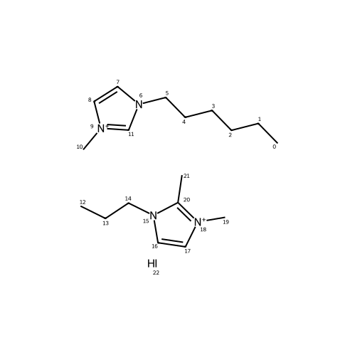 CCCCCCn1cc[n+](C)c1.CCCn1cc[n+](C)c1C.I